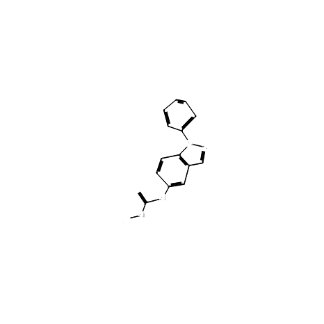 CNC(=O)Nc1ccc2c(cnn2-c2ccccc2)c1